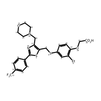 CCc1cc(SCc2sc(-c3ccc(C(F)(F)F)cc3)nc2CN2CCOCC2)ccc1OCC(=O)O